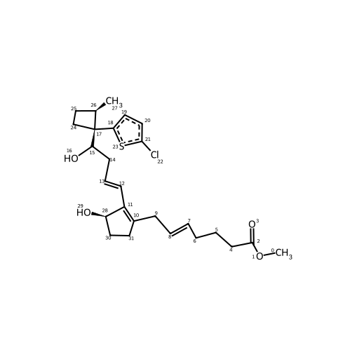 COC(=O)CCCC=CCC1=C(C=CCC(O)[C@@]2(c3ccc(Cl)s3)CC[C@H]2C)[C@H](O)CC1